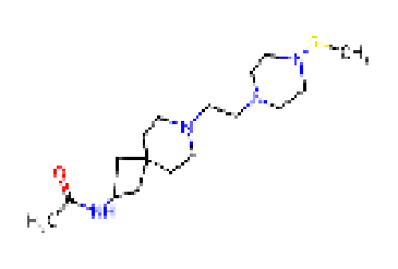 CSN1CCN(CCN2CCC3(CC2)CC(NC(C)=O)C3)CC1